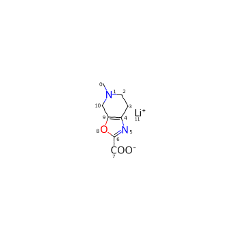 CN1CCc2nc(C(=O)[O-])oc2C1.[Li+]